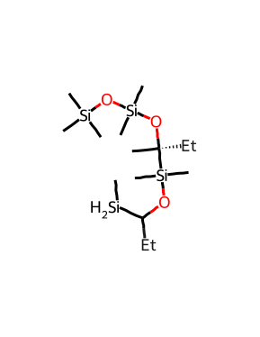 CCC(O[Si](C)(C)[C@](C)(CC)O[Si](C)(C)O[Si](C)(C)C)[SiH2]C